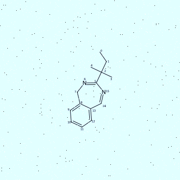 CCC(C)(C)C1=NCc2ccccc2C=N1